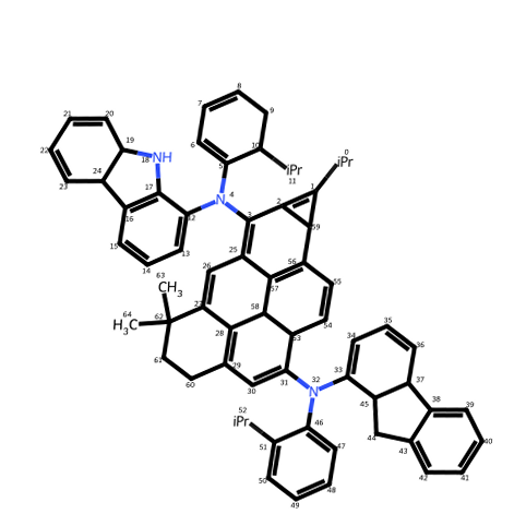 CC(C)C1=C2C(N(C3=CC=CCC3C(C)C)c3cccc4c3NC3C=CC=CC43)=C3C=C4C5=C(C=C(N(C6=CC=CC7c8ccccc8CC67)c6ccccc6C(C)C)C6C=CC(=C3C56)C21)CCC4(C)C